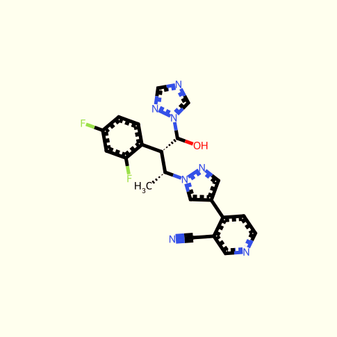 C[C@H]([C@H](c1ccc(F)cc1F)C(O)n1cncn1)n1cc(-c2ccncc2C#N)cn1